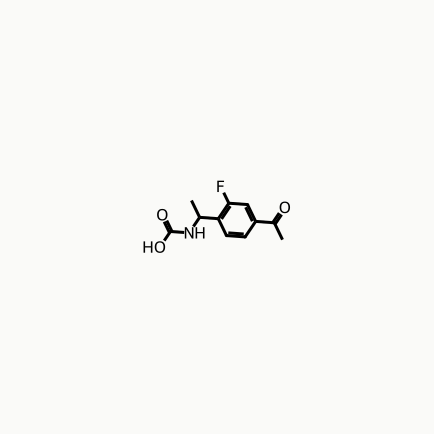 CC(=O)c1ccc(C(C)NC(=O)O)c(F)c1